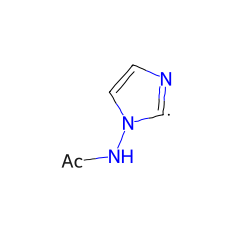 CC(=O)Nn1[c]ncc1